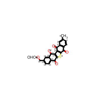 Cc1ccc2c(=O)c3sc4c(=O)c5ccc(COC=O)cc5c(=O)c4c3c(=O)c2c1